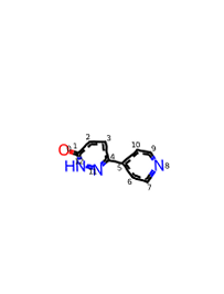 O=c1ccc(-c2ccncc2)n[nH]1